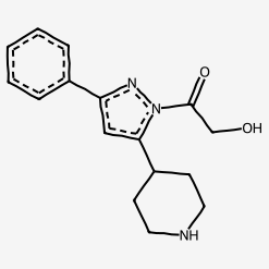 O=C(CO)n1nc(-c2ccccc2)cc1C1CCNCC1